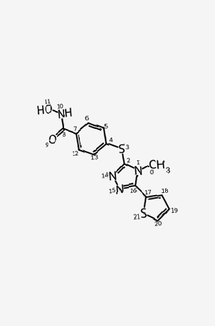 Cn1c(Sc2ccc(C(=O)NO)cc2)nnc1-c1cccs1